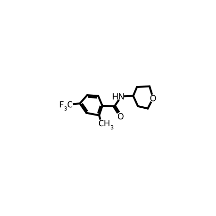 Cc1cc(C(F)(F)F)ccc1C(=O)NC1CCOCC1